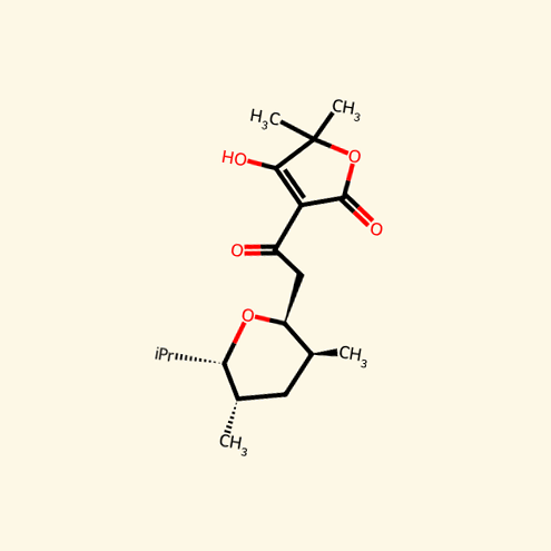 CC(C)[C@@H]1O[C@@H](CC(=O)C2=C(O)C(C)(C)OC2=O)[C@@H](C)C[C@@H]1C